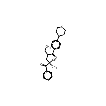 CCC(CC(C)(O)C(=O)c1ccccc1)C(=O)c1ccc(N2CCOCC2)cc1